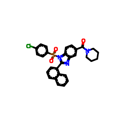 O=C(c1ccc2c(c1)nc(-c1cccc3ccccc13)n2S(=O)(=O)c1ccc(Cl)cc1)N1CCCCC1